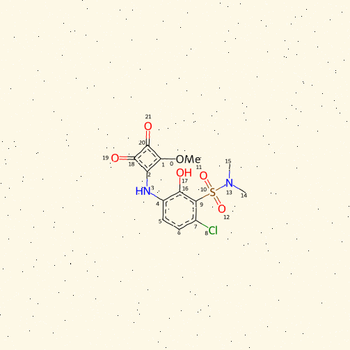 COc1c(Nc2ccc(Cl)c(S(=O)(=O)N(C)C)c2O)c(=O)c1=O